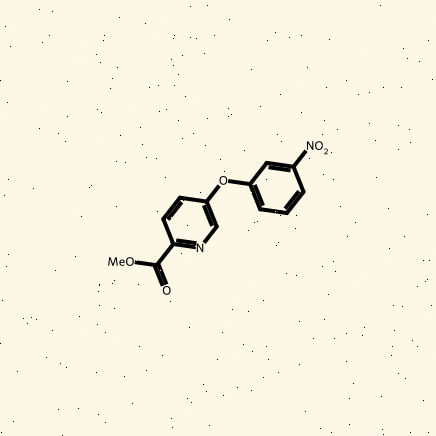 COC(=O)c1ccc(Oc2cccc([N+](=O)[O-])c2)cn1